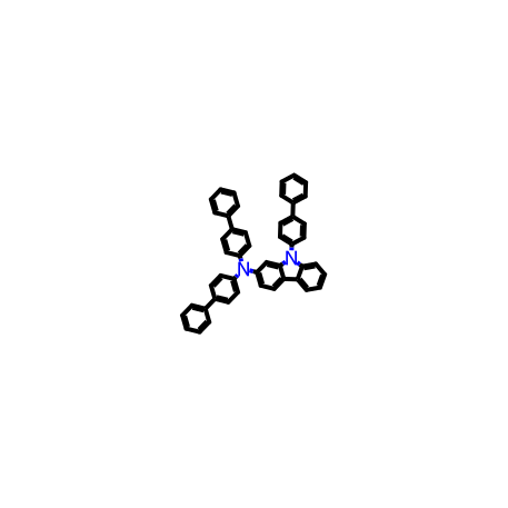 c1ccc(-c2ccc(N(c3ccc(-c4ccccc4)cc3)c3ccc4c5ccccc5n(-c5ccc(-c6ccccc6)cc5)c4c3)cc2)cc1